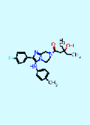 CCC(C)(O)CC(=O)N1CCn2c(nc(-c3ccc(F)cc3)c2Nc2ccc(C)cc2)C1